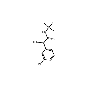 CC(C)(C)NC(=O)C(N)c1cccc(Cl)c1